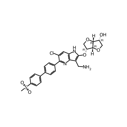 CS(=O)(=O)c1ccc(-c2ccc(-c3nc4c(CN)c(O[C@@H]5CO[C@H]6[C@@H]5OC[C@H]6O)[nH]c4cc3Cl)cc2)cc1